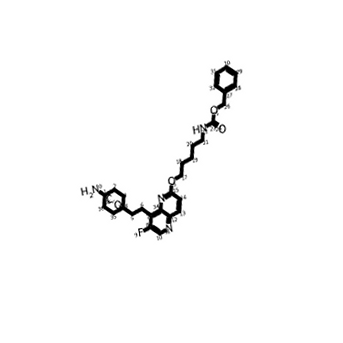 NC12CCC(CCc3c(F)cnc4ccc(OCCCCCNC(=O)OCc5ccccc5)nc34)(CC1)OC2